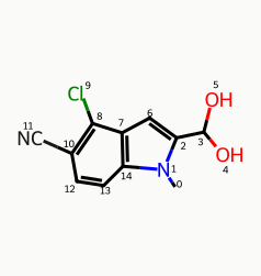 Cn1c(C(O)O)cc2c(Cl)c(C#N)ccc21